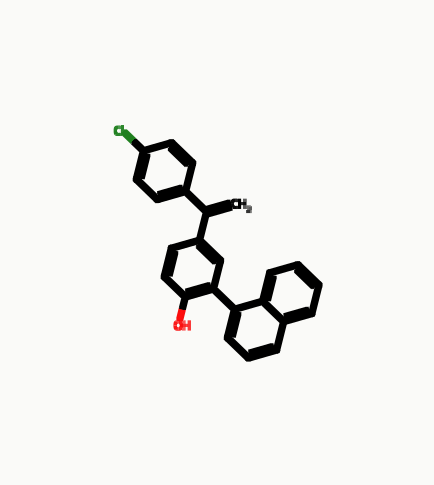 C=C(c1ccc(Cl)cc1)c1ccc(O)c(-c2cccc3ccccc23)c1